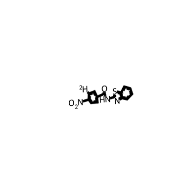 [2H]c1cc(C(=O)Nc2nc3ccccc3s2)ccc1[N+](=O)[O-]